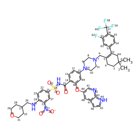 CC1(C)CCC(CN2CCN(c3ccc(C(=O)NS(=O)(=O)c4ccc(NCC5CCOCC5)c([N+](=O)[O-])c4)c(Oc4cnc5[nH]ccc5c4)c3)CC2)=C(c2ccc(C(F)(F)F)c(F)c2)C1